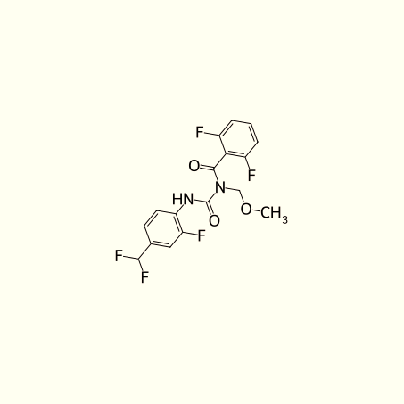 COCN(C(=O)Nc1ccc(C(F)F)cc1F)C(=O)c1c(F)cccc1F